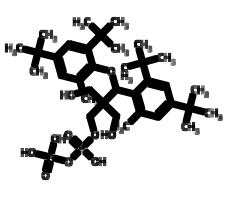 Cc1cc(C(C)(C)C)cc(C(C)(C)C)c1OC(c1c(C)cc(C(C)(C)C)cc1C(C)(C)C)C(CO)(CO)COP(=O)(O)OP(=O)(O)O